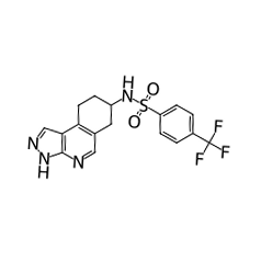 O=S(=O)(NC1CCc2c(cnc3[nH]ncc23)C1)c1ccc(C(F)(F)F)cc1